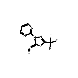 O=S=c1sc(C(F)(F)F)nn1-c1ncccn1